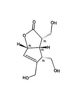 O=C1O[C@H]2C=C(CO)[C@@H](CO)[C@H]2[C@H]1CO